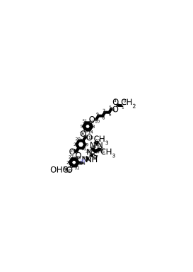 C=CC(=O)OCCCCCCOc1ccc(OC(=O)C2CCC(C(=O)Oc3ccc(OC=O)cc3/C=N/Nc3nc4nc(C)nc(C)c4s3)CC2)cc1